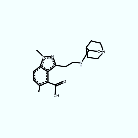 Cc1ccc2c(c(CCNC3CN4CCC3CC4)nn2C)c1C(=O)O